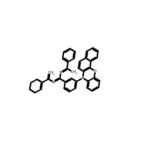 C=C(/N=C(\N=C(/C)c1ccccc1)c1cccc(N2c3ccccc3Oc3c2ccc2ccccc32)c1)C1=CCCCC1